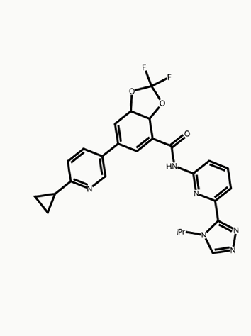 CC(C)n1cnnc1-c1cccc(NC(=O)C2=CC(c3ccc(C4CC4)nc3)=CC3OC(F)(F)OC23)n1